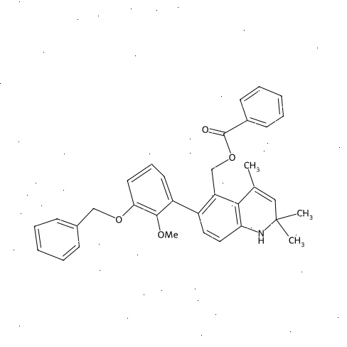 COc1c(OCc2ccccc2)cccc1-c1ccc2c(c1COC(=O)c1ccccc1)C(C)=CC(C)(C)N2